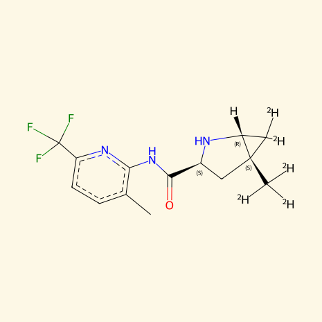 [2H]C([2H])([2H])[C@@]12C[C@@H](C(=O)Nc3nc(C(F)(F)F)ccc3C)N[C@@H]1C2([2H])[2H]